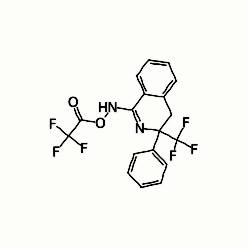 O=C(ONC1=NC(c2ccccc2)(C(F)(F)F)Cc2ccccc21)C(F)(F)F